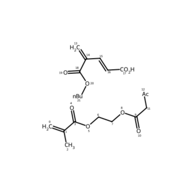 C=C(C)C(=O)OCCOC(=O)CC(C)=O.C=C(C=CC(=O)O)C(=O)OCCCC